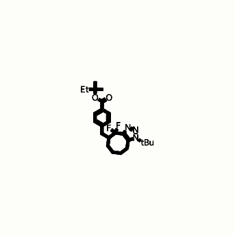 CCC(C)(C)OC(=O)c1ccc(CC2CCCCc3c(nnn3C(C)(C)C)C2(F)F)cc1